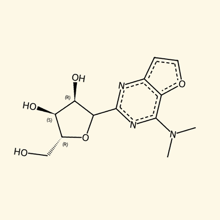 CN(C)c1nc(C2O[C@H](CO)[C@@H](O)[C@H]2O)nc2ccoc12